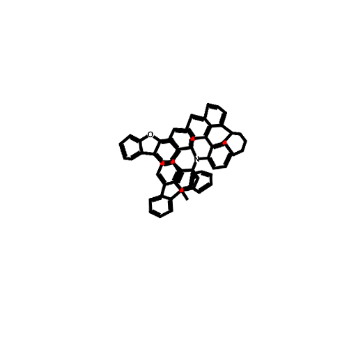 CC1(c2ccccc2)c2ccccc2-c2ccc(-c3ccccc3N(c3ccccc3-c3ccc4oc5ccccc5c4c3)c3ccccc3-c3cccc4cccc(C5CCCCC5)c34)cc21